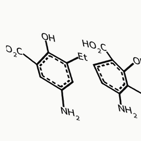 CCc1c(N)ccc(C(=O)O)c1O.CCc1cc(N)cc(C(=O)O)c1O